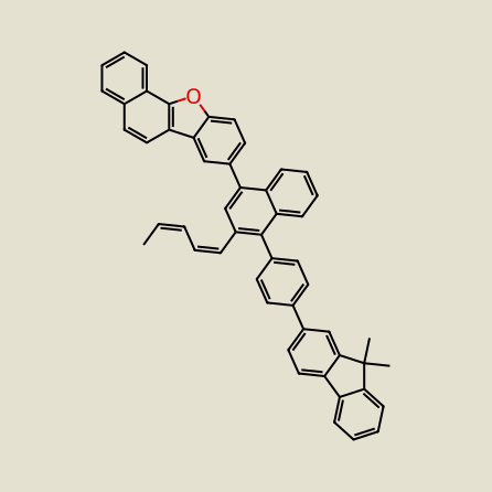 C/C=C\C=C/c1cc(-c2ccc3oc4c5ccccc5ccc4c3c2)c2ccccc2c1-c1ccc(-c2ccc3c(c2)C(C)(C)c2ccccc2-3)cc1